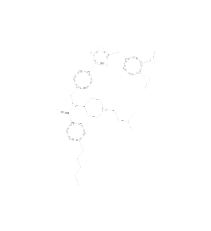 CCCCCc1ccc(C(=O)N(Cc2ccc(-c3noc(Cc4ccc(OC)c(OC)c4)n3)cc2)C2CCN(CCC(C)C)CC2)cc1